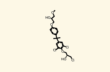 COC[C@@H](O)COc1ccc(C(C)(C)c2cc(Cl)c(OC[C@H](O)CCl)c(Cl)c2)cc1